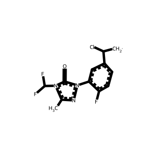 [CH2]C(Cl)c1ccc(F)c(-n2nc(C)n(C(F)F)c2=O)c1